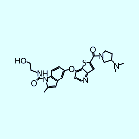 Cc1cc2cc(Oc3ccnc4cc(C(=O)N5CC[C@@H](N(C)C)C5)sc34)ccc2n1C(=O)NCCO